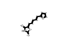 O=C1NC(=S)SC1=CC=CC=Cc1ccco1